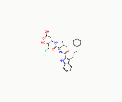 CC(C)[C@H](NC(=O)c1[nH]c2ccccc2c1CCCc1ccccc1)C(=O)NC(CC(=O)O)C(O)CF